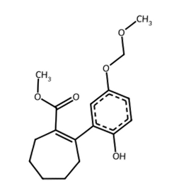 COCOc1ccc(O)c(C2=C(C(=O)OC)CCCCC2)c1